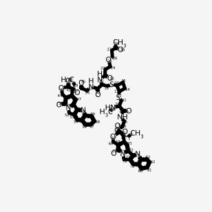 CC[C@@]1(OC(=O)CNC(=O)C(CSC2CCC2SCC(NC(=O)CCOCCC(C)=O)C(=O)NCC(=O)O[C@]2(CC)C(=O)OCc3c2cc2n(c3=O)Cc3cc4ccccc4nc3-2)NC)C(=O)OCc2c1cc1n(c2=O)Cc2cc3ccccc3nc2-1